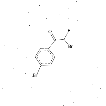 O=C(c1ccc(Br)cc1)C(F)Br